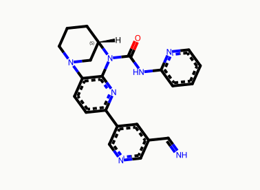 N=Cc1cncc(-c2ccc3c(n2)N(C(=O)Nc2ccccn2)[C@H]2CCCN3C2)c1